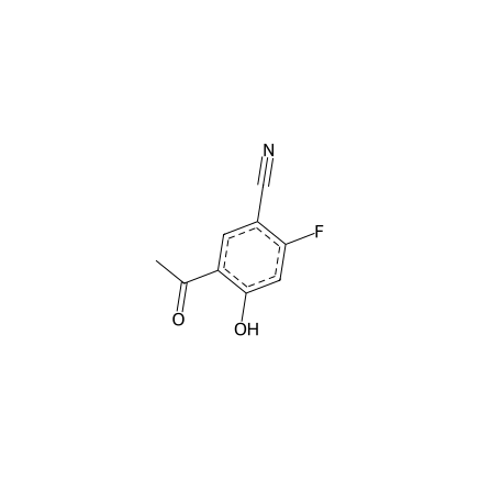 CC(=O)c1cc(C#N)c(F)cc1O